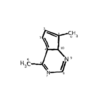 CC1=CC=C2C(C)=NC=NC12